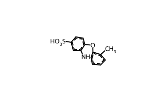 Cc1ccccc1Oc1ccc(S(=O)(=O)O)cc1N